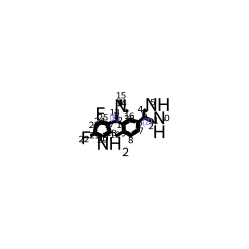 CN/C=C(\C=N)c1ccc(C)c(/C(=C\N(C)C)c2cc(N)c(F)cc2F)c1